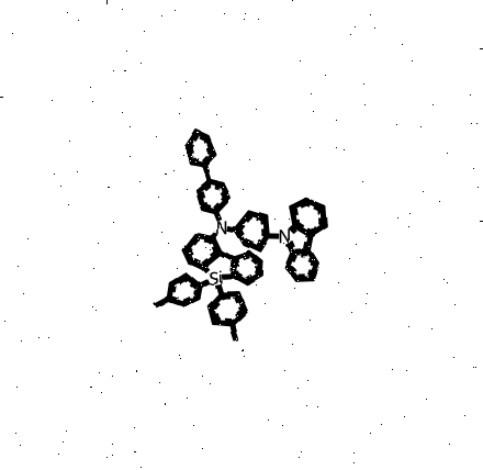 Cc1ccc([Si]2(c3ccc(C)cc3)c3ccccc3-c3c(N(c4ccc(-c5ccccc5)cc4)c4ccc(-n5c6ccccc6c6ccccc65)cc4)cccc32)cc1